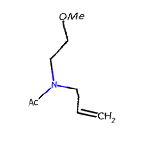 C=CCN(CCOC)C(C)=O